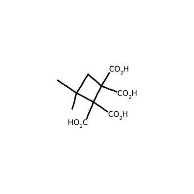 CC1(C)CC(C(=O)O)(C(=O)O)C1(C(=O)O)C(=O)O